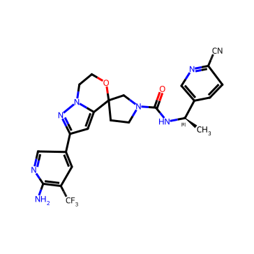 C[C@@H](NC(=O)N1CCC2(C1)OCCn1nc(-c3cnc(N)c(C(F)(F)F)c3)cc12)c1ccc(C#N)nc1